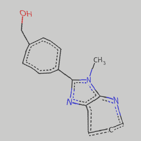 Cn1c(-c2ccc(CO)cc2)nc2cccnc21